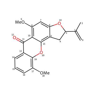 C=C(C)C1Cc2c(cc(OC)c3c(=O)c4cccc(OC)c4oc23)O1